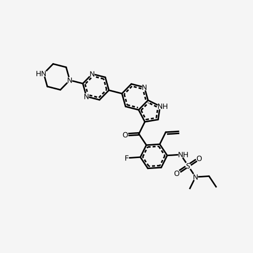 C=Cc1c(NS(=O)(=O)N(C)CC)ccc(F)c1C(=O)c1c[nH]c2ncc(-c3cnc(N4CCNCC4)nc3)cc12